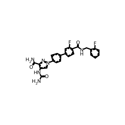 NC(=O)Nc1cn(-c2ccc(-c3ccc(C(=O)NCc4ccccc4F)c(F)c3)cc2)nc1C(N)=O